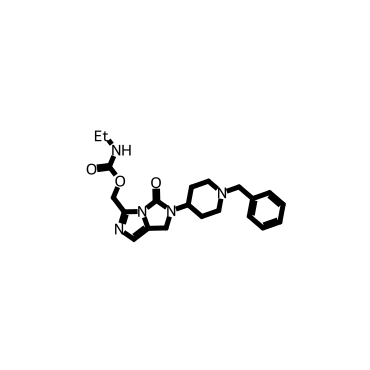 CCNC(=O)OCc1ncc2n1C(=O)N(C1CCN(Cc3ccccc3)CC1)C2